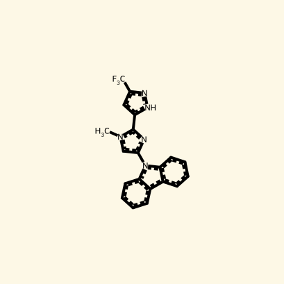 Cn1cc(-n2c3ccccc3c3ccccc32)nc1-c1cc(C(F)(F)F)n[nH]1